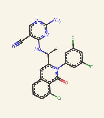 C[C@H](Nc1nc(N)ncc1C#N)c1cc2cccc(Cl)c2c(=O)n1-c1cc(F)cc(F)c1